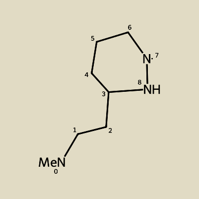 CNCCC1CCC[N]N1